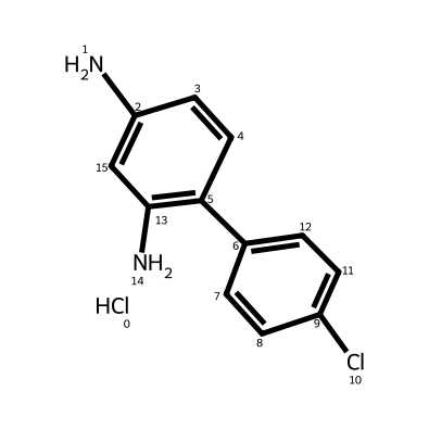 Cl.Nc1ccc(-c2ccc(Cl)cc2)c(N)c1